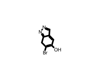 OC1=C(Br)CC2=NN=CC2=C1